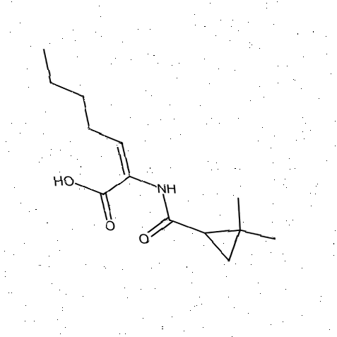 CCCCC=C(NC(=O)C1CC1(C)C)C(=O)O